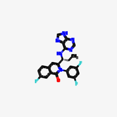 CC[C@@H](Nc1ncnc2[nH]cnc12)c1cc2ccc(F)cc2c(=O)n1-c1cc(F)cc(F)c1